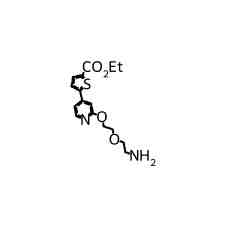 CCOC(=O)c1ccc(-c2ccnc(OCCOCCN)c2)s1